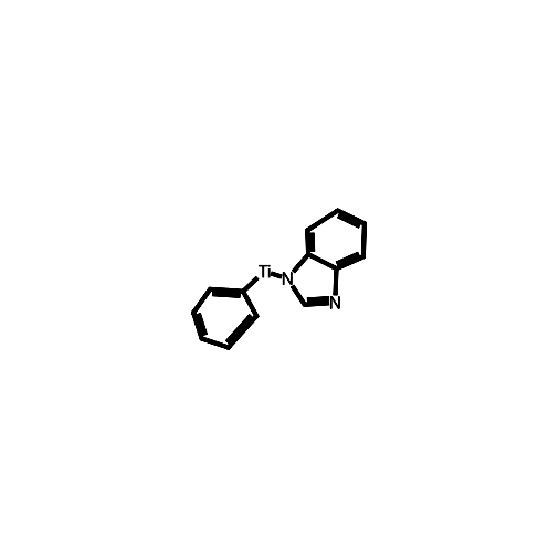 c1cc[c]([Ti][n]2cnc3ccccc32)cc1